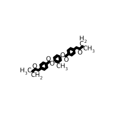 C=C(C)C(=O)Cc1ccc(C(=O)Oc2ccc(OC(=O)c3ccc(CC(=O)C(=C)C)cc3)c(C)c2)cc1